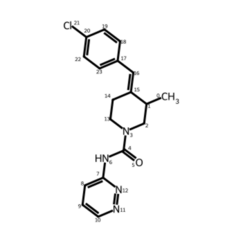 CC1CN(C(=O)Nc2cccnn2)CCC1=Cc1ccc(Cl)cc1